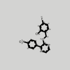 O=[N+]([O-])c1ccc(-c2nccnc2OCc2ccc(F)cc2Cl)cc1